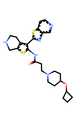 O=C(CCN1CCC(OC2CCC2)CC1)Nc1sc2c(c1-c1nc3cnccc3s1)CCNC2